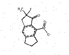 CC1(F)Cc2cc3c(c([N+](=O)[O-])c2C1=O)CCC3